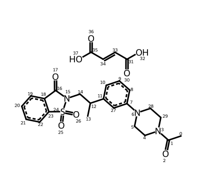 CC(=O)N1CCN(c2cccc(C(C)CN3C(=O)c4ccccc4S3(=O)=O)c2)CC1.O=C(O)C=CC(=O)O